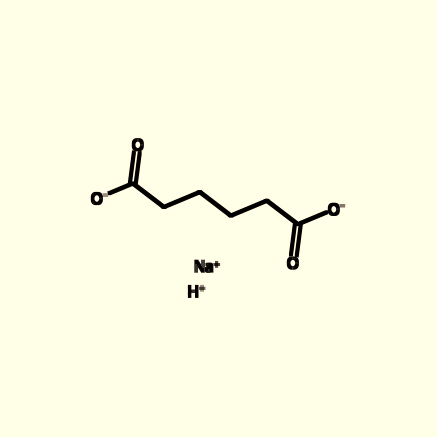 O=C([O-])CCCCC(=O)[O-].[H+].[Na+]